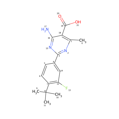 Cc1nc(-c2ccc(C(C)(C)C)c(F)c2)nc(N)c1C(=O)O